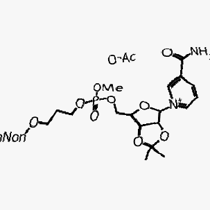 CC(=O)[O-].CCCCCCCCCOCCCOP(=O)(OC)OCC1OC([n+]2cccc(C(N)=O)c2)C2OC(C)(C)OC12